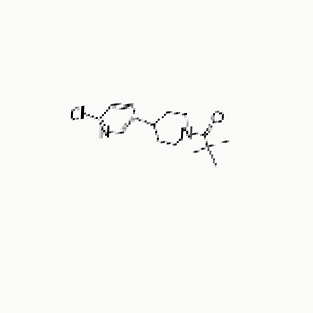 CC(C)(C)C(=O)N1CCC(c2ccc(Cl)nc2)CC1